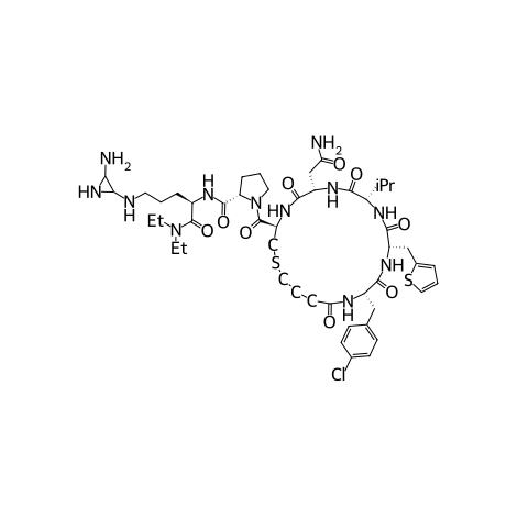 CCN(CC)C(=O)[C@@H](CCCNC1NC1N)NC(=O)[C@@H]1CCCN1C(=O)[C@@H]1CSCCCC(=O)N[C@@H](Cc2ccc(Cl)cc2)C(=O)N[C@@H](Cc2cccs2)C(=O)N[C@@H](C(C)C)C(=O)N[C@@H](CC(N)=O)C(=O)N1